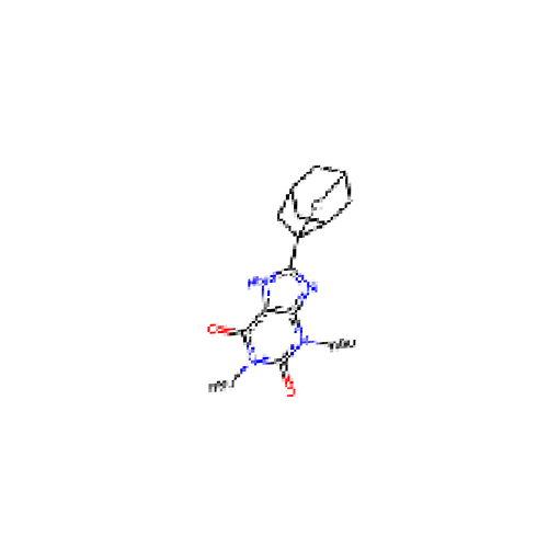 CCCCn1c(=O)c2[nH]c(C34CC5CC(CC3C5)C4)nc2n(CCCC)c1=O